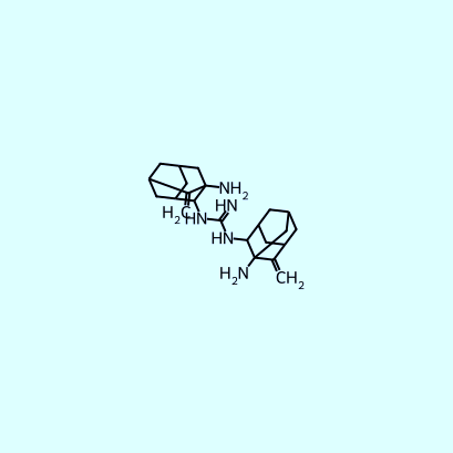 C=C1C2CC3CC(C2)C(NC(=N)NC2C4CC5CC(C4)C(=C)C2(N)C5)C1(N)C3